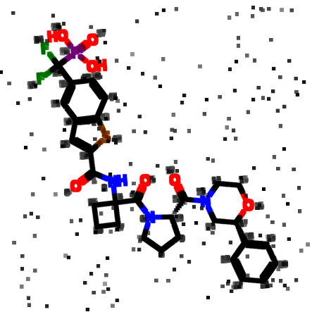 O=C(NC1(C(=O)N2CCC[C@H]2C(=O)N2CCO[C@@H](c3ccccc3)C2)CCC1)c1cc2cc(C(F)(F)P(=O)(O)O)ccc2s1